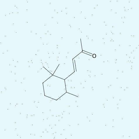 CC(=O)C=CC1C(C)CCCC1(C)C